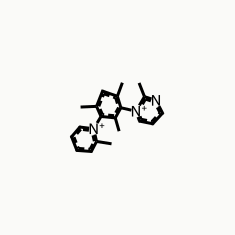 Cc1cc(C)c(-[n+]2cccnc2C)c(C)c1-[n+]1ccccc1C